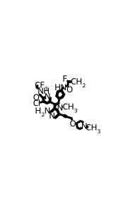 C=C(F)C(=O)Nc1ccc(-c2c(-c3cnc(C(=O)NCC(F)(F)F)c(Cl)c3)c3c(N)ncc(C#CCOC4CCN(C)CC4)c3n2C)cc1